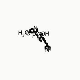 COc1ccc2nccc(C(F)CC[C@@H]3CCN(CCCc4ccnnc4)C[C@@H]3C(=O)O)c2c1